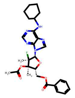 CC(=O)O[C@]1(C)[C@@H](COC(=O)c2ccccc2)O[C@H](n2cnc3c(NC4CCCCC4)ncnc32)[C@]1(C)F